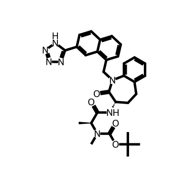 C[C@@H](C(=O)N[C@H]1CCc2ccccc2N(Cc2cccc3ccc(-c4nnn[nH]4)cc23)C1=O)N(C)C(=O)OC(C)(C)C